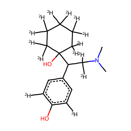 [2H]c1cc(C(C([2H])([2H])N(C)C)C2(O)C([2H])([2H])C([2H])([2H])C([2H])([2H])C([2H])([2H])C2([2H])[2H])cc([2H])c1O